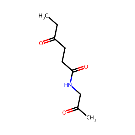 CCC(=O)CCC(=O)NCC(C)=O